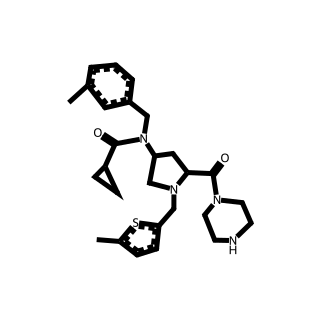 Cc1cccc(CN(C(=O)C2CC2)C2CC(C(=O)N3CCNCC3)N(Cc3ccc(C)s3)C2)c1